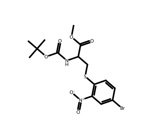 COC(=O)C(CSc1ccc(Br)cc1[N+](=O)[O-])NC(=O)OC(C)(C)C